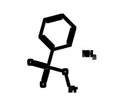 CC(C)OS(=O)(=O)c1ccccc1.N